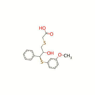 COc1cccc(S[C@@H](c2ccccc2)C(O)CSCC(=O)O)c1